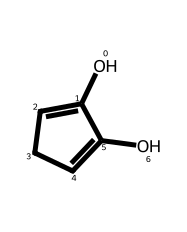 OC1=CCC=C1O